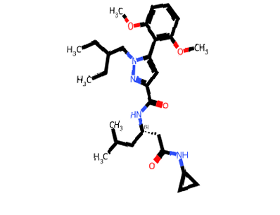 CCC(CC)Cn1nc(C(=O)N[C@H](CC(=O)NC2CC2)CC(C)C)cc1-c1c(OC)cccc1OC